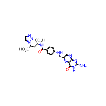 Nc1nc2ncc(CNc3ccc(C(=O)NC(CC(C(=O)O)n4ccnn4)C(=O)O)cc3)nc2c(=O)[nH]1